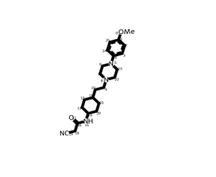 COc1ccc(N2CCN(CCC3CCC(NC(=O)CC#N)CC3)CC2)cc1